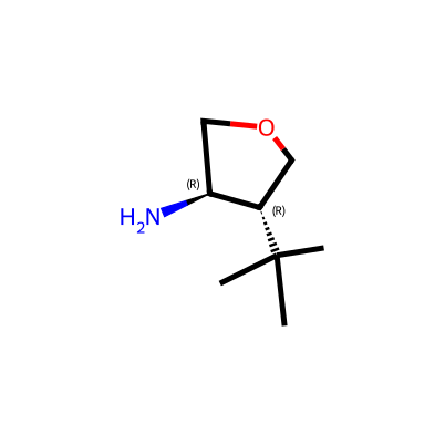 CC(C)(C)[C@H]1COC[C@@H]1N